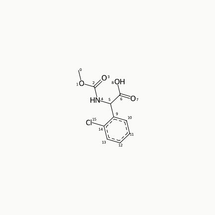 COC(=O)NC(C(=O)O)c1ccccc1Cl